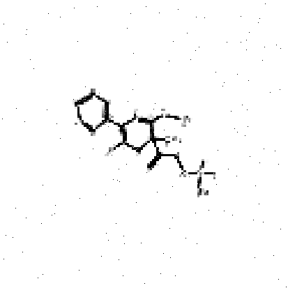 C=C(CO[Si](C)(C)C(C)(C)C)C1(OC)CC(F)=C(c2cccnc2)N=C1OCCC